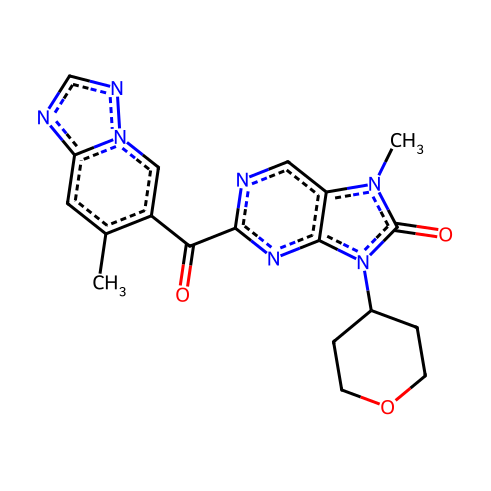 Cc1cc2ncnn2cc1C(=O)c1ncc2c(n1)n(C1CCOCC1)c(=O)n2C